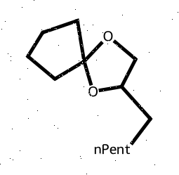 CCCCCCC1COC2(CCCC2)O1